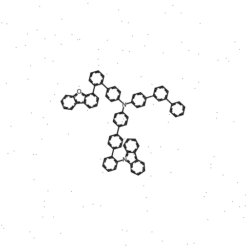 c1ccc(-c2cccc(-c3ccc(N(c4ccc(-c5ccc(-c6ccccc6-n6c7ccccc7c7ccccc76)cc5)cc4)c4ccc(-c5ccccc5-c5cccc6c5oc5ccccc56)cc4)cc3)c2)cc1